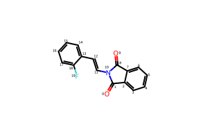 O=C1c2ccccc2C(=O)N1/C=C/c1ccccc1F